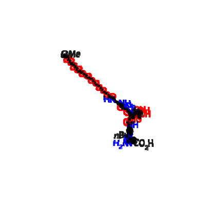 CCCCc1nc2c(N)nc3cc(C(=O)O)ccc3c2n1Cc1ccc(CNC(=O)OCc2ccc(O[C@H]3O[C@H](CO)[C@@H](O)[C@H](O)[C@@H]3O)c(NC(=O)CCNC(=O)[C@@H](N)CCCCNC(=O)CCOCCOCCOCCOCCOCCOCCOCCOCCOCCOCCOCCOC)c2)cc1